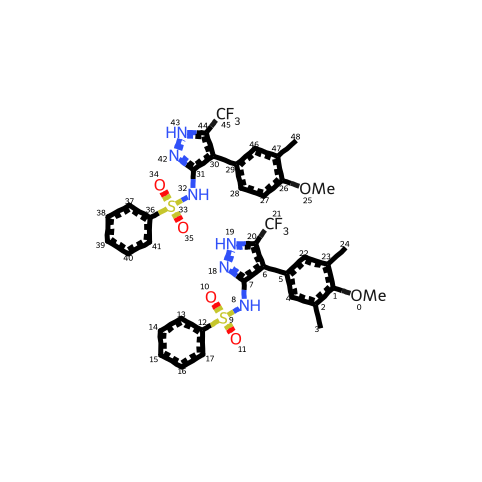 COc1c(C)cc(-c2c(NS(=O)(=O)c3ccccc3)n[nH]c2C(F)(F)F)cc1C.COc1ccc(-c2c(NS(=O)(=O)c3ccccc3)n[nH]c2C(F)(F)F)cc1C